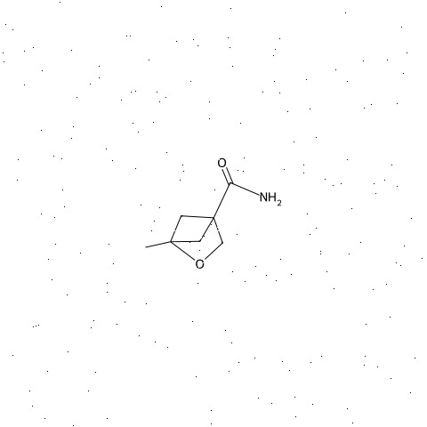 CC12CC(C(N)=O)(CO1)C2